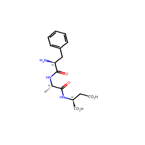 C[C@H](NC(=O)[C@@H](N)Cc1ccccc1)C(=O)N[C@@H](CC(=O)O)C(=O)O